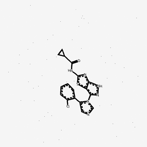 O=C(Nc1nc2[nH]nc(-n3cncc3-c3ccccc3Cl)c2s1)C1CC1